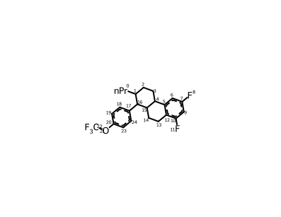 CCCC1CCC2c3cc(F)cc(F)c3CCC2C1c1ccc(OC(F)(F)F)cc1